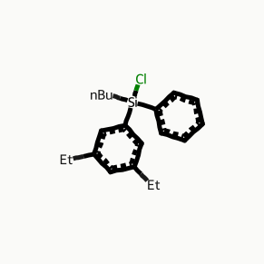 CCCC[Si](Cl)(c1ccccc1)c1cc(CC)cc(CC)c1